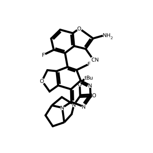 CC(C)(C)OC(=O)N1CC2CCC(C1)N2c1ncnc2c(F)c(-c3c(F)ccc4oc(N)c(C#N)c34)c3c(c12)COC3